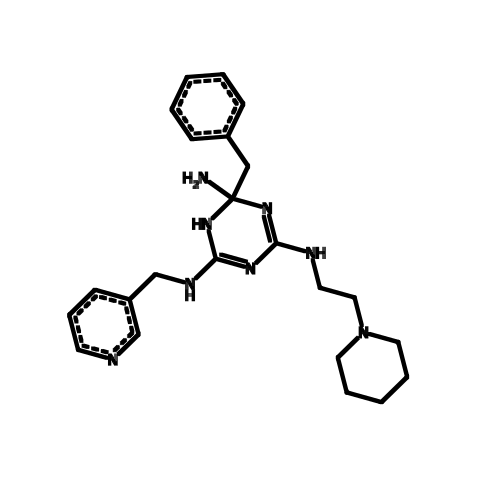 NC1(Cc2ccccc2)N=C(NCCN2CCCCC2)N=C(NCc2cccnc2)N1